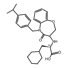 CC(C)c1ccc(CN2C(=O)C(N[C@H](CC3CCCCC3)C(=O)O)COc3ccccc32)cc1